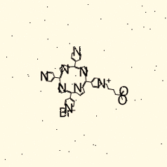 COC(=O)CCCC[n+]1ccc(C2=C3C=CC(=N3)C(c3ccncc3)=C3C=CC(=N3)C(c3ccncc3)=C3C=CC(=N3)C(c3ccncc3)=C3C=CC2=N3)cc1.[Br-]